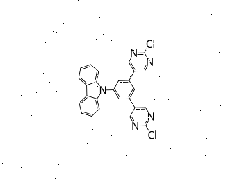 Clc1ncc(-c2cc(-c3cnc(Cl)nc3)cc(-n3c4ccccc4c4ccccc43)c2)cn1